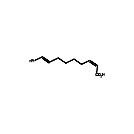 CCC/C=C/CCCC/C=C\C(=O)O